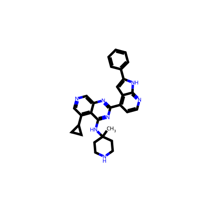 CC1(Nc2nc(-c3ccnc4[nH]c(-c5ccccc5)cc34)nc3cncc(C4CC4)c23)CCNCC1